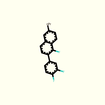 CCCc1ccc2c(F)c(-c3ccc(F)c(F)c3)ccc2c1